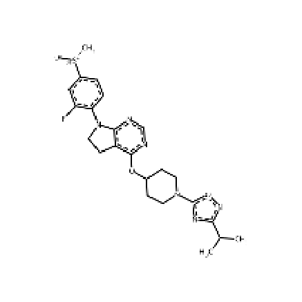 CC(C)c1noc(N2CCC(Oc3ncnc4c3CCN4c3ccc([S@@+](C)[O-])cc3F)CC2)n1